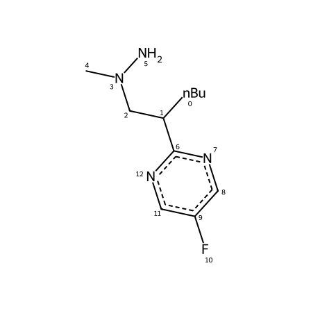 CCCCC(CN(C)N)c1ncc(F)cn1